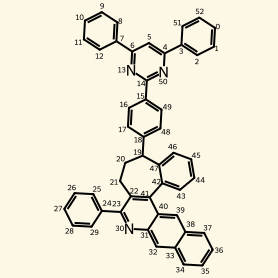 c1ccc(-c2cc(-c3ccccc3)nc(-c3ccc(C4CCc5c(-c6ccccc6)nc6cc7ccccc7cc6c5-c5ccccc54)cc3)n2)cc1